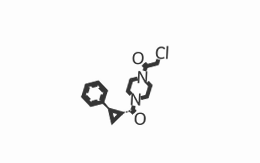 O=C(CCl)N1CCN(C(=O)[C@@H]2C[C@H]2c2ccccc2)CC1